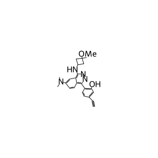 C#Cc1ccc(-c2nnc(NC3CC(C)(OC)C3)c3cc(N(C)C)ccc23)c(O)c1